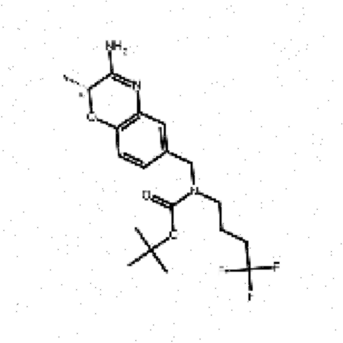 C[C@H]1Oc2ccc(CN(CCCC(F)(F)F)C(=O)OC(C)(C)C)cc2N=C1N